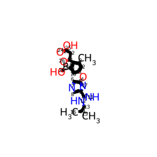 Cc1cc(Oc2cncc(C(=N)NCC(C)C)n2)cc2c1C(CC(=O)O)OB2O